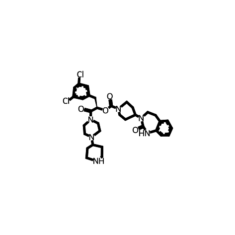 O=C(O[C@H](Cc1cc(Cl)cc(Cl)c1)C(=O)N1CCN(C2CCNCC2)CC1)N1CCC(N2CCc3ccccc3NC2=O)CC1